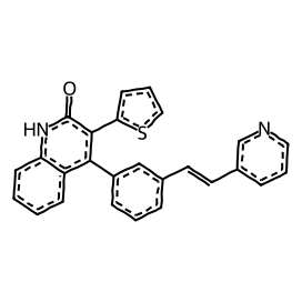 O=c1[nH]c2ccccc2c(-c2cccc(C=Cc3cccnc3)c2)c1-c1cccs1